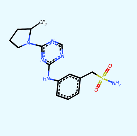 NS(=O)(=O)Cc1cccc(Nc2ncnc(N3CCCC3C(F)(F)F)n2)c1